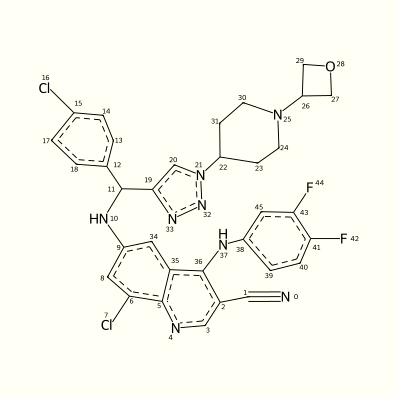 N#Cc1cnc2c(Cl)cc(NC(c3ccc(Cl)cc3)c3cn(C4CCN(C5COC5)CC4)nn3)cc2c1Nc1ccc(F)c(F)c1